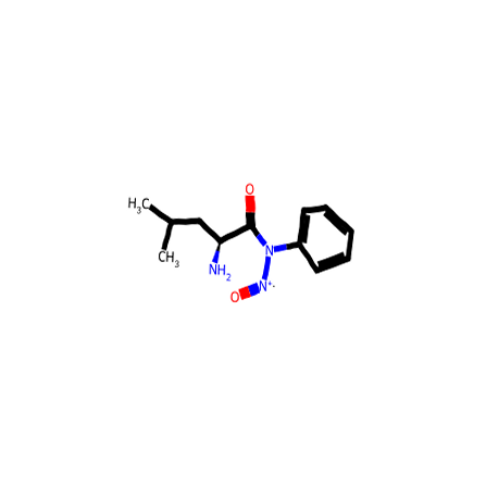 CC(C)C[C@H](N)C(=O)N([N+]=O)c1ccccc1